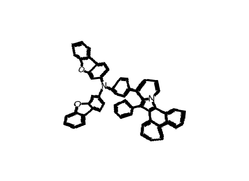 c1ccc(-c2c3c4ccccc4c4ccccc4c3n3cccc(-c4ccc(N(c5ccc6c(c5)oc5ccccc56)c5ccc6c(c5)oc5ccccc56)cc4)c23)cc1